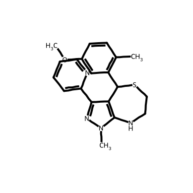 COc1ccc(C)c(C2SCCNc3c2c(-c2ccccn2)nn3C)c1